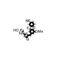 COc1cc(/C=C2\SC(NCC(=O)O)=NC2=O)ccc1Oc1ccc(C#N)cc1C(F)(F)F